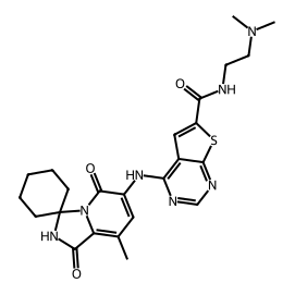 Cc1cc(Nc2ncnc3sc(C(=O)NCCN(C)C)cc23)c(=O)n2c1C(=O)NC21CCCCC1